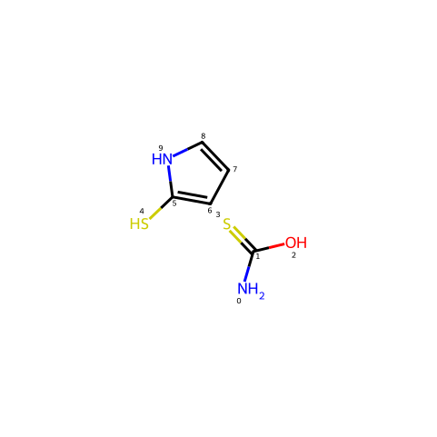 NC(O)=S.Sc1ccc[nH]1